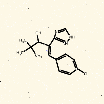 CC(C)(C)C(O)/C(=C/c1ccc(Cl)cc1)c1nc[nH]n1